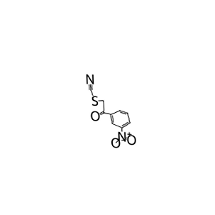 N#CSCC(=O)c1cccc([N+](=O)[O-])c1